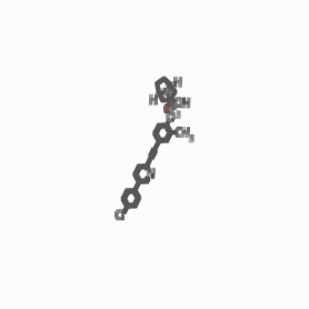 Cc1cc(C#Cc2ccc(-c3ccc(Cl)cc3)cn2)ccc1OCCN1[C@@H]2CC[C@H]1C[C@@](O)(C(F)(F)F)C2